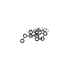 C=C/C=C\C(=C(/C)c1ccccc1)N(c1ccc(-c2cccc(-c3ccccc3)c2)cc1)c1cccc(-c2cccc(-c3cccc4c3-c3cc5c(cc3C4(C)C)C(C)(C)CC5(C)C)c2)c1